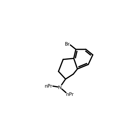 CCCN(CCC)C1CCc2c(Br)cccc2C1